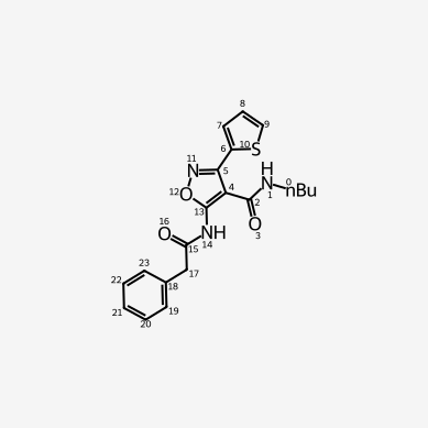 CCCCNC(=O)c1c(-c2cccs2)noc1NC(=O)Cc1ccccc1